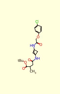 CC(CC(=O)NC12CC(NC(=O)COc3ccc(Cl)cc3)(C1)C2)C(=O)OC(C)(C)C